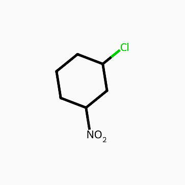 O=[N+]([O-])C1CCCC(Cl)C1